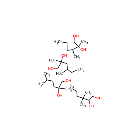 CC(C)CCC(C)(O)CO.CCC(C)CC(C)(O)CO.CCCC(C)(C)C(O)CO.CCCC(C)C(C)(O)CO